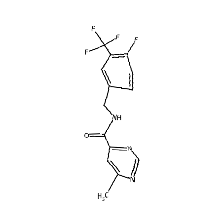 Cc1cc(C(=O)NCc2ccc(F)c(C(F)(F)F)c2)ncn1